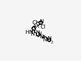 C[C@@H](Oc1ccc2[nH]nc(-c3ccc(N4CC(N)(Cc5ccccn5)C4)nn3)c2c1)c1c(Cl)cncc1Cl